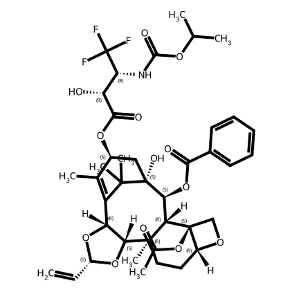 C=C[C@@H]1O[C@@H]2C3=C(C)[C@@H](OC(=O)[C@H](O)[C@@H](NC(=O)OC(C)C)C(F)(F)F)C[C@@](O)([C@@H](OC(=O)c4ccccc4)[C@H]4[C@@](C)(CC[C@H]5OC[C@]54OC(C)=O)[C@@H]2O1)C3(C)C